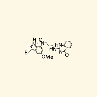 COc1cc(N(C)CCCNc2nc(=O)c3ccccc3[nH]2)c2[nH]cc(Br)c2c1